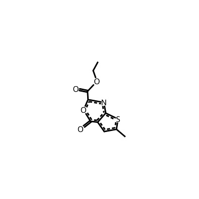 CCOC(=O)c1nc2sc(C)cc2c(=O)o1